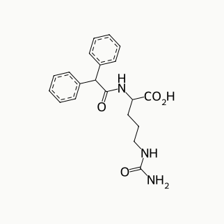 NC(=O)NCCCC(NC(=O)C(c1ccccc1)c1ccccc1)C(=O)O